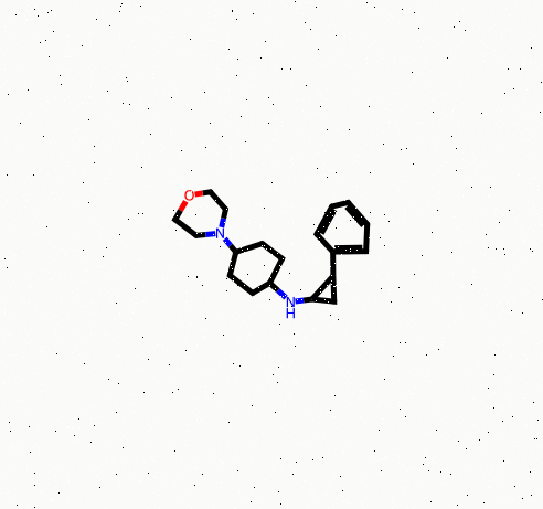 c1ccc(C2CC2NC2CCC(N3CCOCC3)CC2)cc1